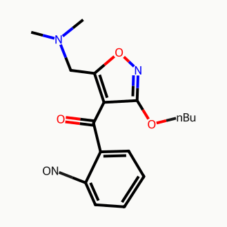 CCCCOc1noc(CN(C)C)c1C(=O)c1ccccc1N=O